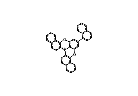 O=P12c3ccc4ccccc4c3Oc3cc(-c4cccc5ccccc45)cc(c31)Oc1c2ccc2ccccc12